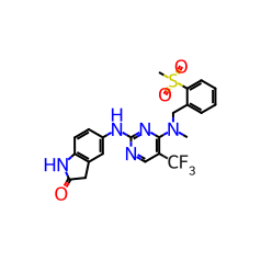 CN(Cc1ccccc1S(C)(=O)=O)c1nc(Nc2ccc3c(c2)CC(=O)N3)ncc1C(F)(F)F